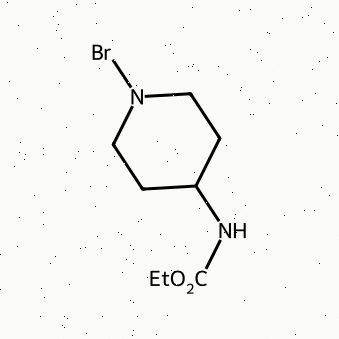 CCOC(=O)NC1CCN(Br)CC1